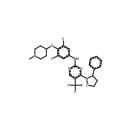 CN1CCC(Oc2c(F)cc(Nc3ncc(C(F)(F)F)c(N4OCCC4c4ccccc4)n3)cc2F)CC1